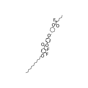 CCCCCCCCCCCOc1ccc(C(=O)Oc2ccc(OC[C@H]3CC[C@H](OC(=O)[C@@H](F)CCCC)CC3)cc2)c(F)c1F